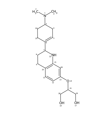 CN(C)C1CC=C(C2CCc3ccc(OC(CO)CO)cc3N2)CC1